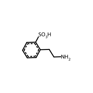 NCCc1ccccc1S(=O)(=O)O